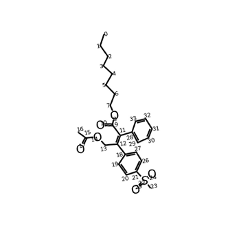 CCCCCCCCOC(=O)/C(=C(\COC(C)=O)c1ccc(S(C)(=O)=O)cc1)c1ccccc1